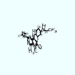 Cn1c(=O)cc(NC2CCC(NCC(F)(F)F)CC2)c2nc(-n3ccnc3)ncc21